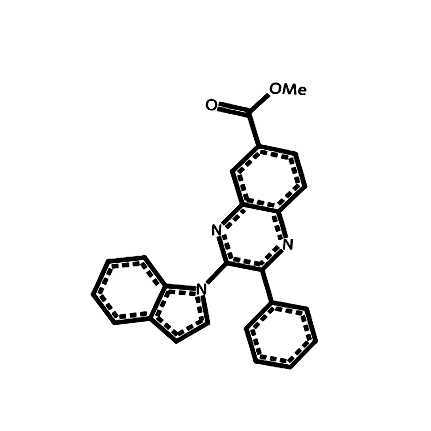 COC(=O)c1ccc2nc(-c3ccccc3)c(-n3ccc4ccccc43)nc2c1